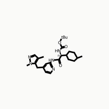 Cc1cnn(C)c1Cc1ccnc(NC(=O)[C@@H](NC(=O)OC(C)(C)C)C2CCC(C)CC2)c1